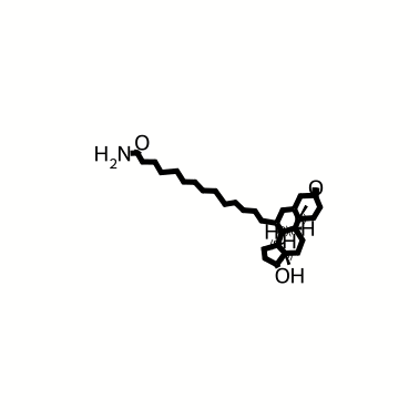 C[C@]12CCC(=O)CC1CC(CCCCCCCCCCCCCC(N)=O)[C@@H]1[C@H]2CC[C@]2(C)C(O)CC[C@@H]12